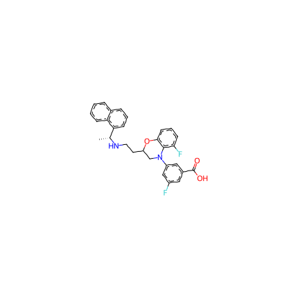 C[C@@H](NCCC1CN(c2cc(F)cc(C(=O)O)c2)c2c(F)cccc2O1)c1cccc2ccccc12